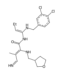 CC/C=C(\NCc1ccc(Cl)c(Cl)c1)NC(=O)/C(NCC1CCOC1)=C(\C)C=N